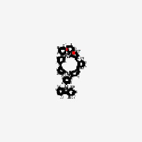 c1ccc([Si]2(c3ccccc3)c3cccc(c3)-c3cccc(c3)-n3c4ccc(-n5c6ccccc6c6ccccc65)cc4c4ccc(cc43)-c3ccccc3-c3cccc2c3)cc1